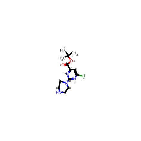 CC(C)(C)OC(=O)c1cc(Cl)nc(N2CCNCC2)n1